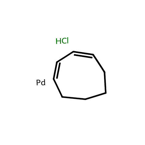 C1=CCCCCC=C1.Cl.[Pd]